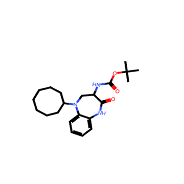 CC(C)(C)OC(=O)NC1CN(C2CCCCCCC2)c2ccccc2NC1=O